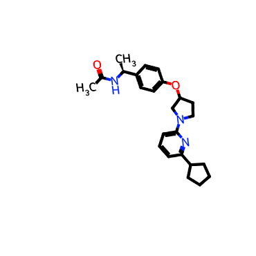 CC(=O)N[C@@H](C)c1ccc(OC2CCN(c3cccc(C4CCCC4)n3)C2)cc1